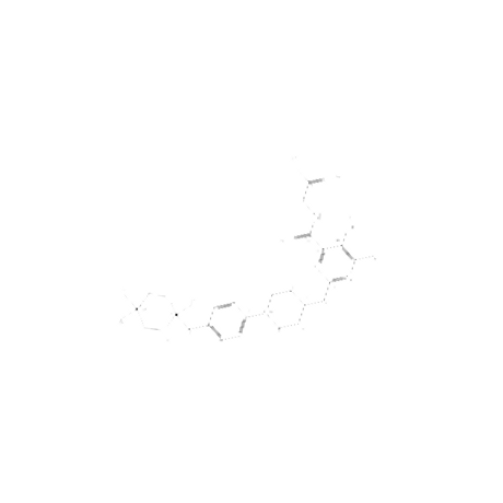 Cc1nc(CC2CCN(c3ccc(CC4(C)OCC(C)(C)CO4)cc3)CC2)nc(C(=O)NCC(=O)O)c1O